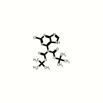 CC(C)(C)OC(=O)N(C(=O)OC(C)(C)C)c1nc(Cl)nc2nc[nH]c12